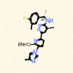 COc1nc(-c2cc(C)c(N[C@@H](C)c3ccc(F)c(C)c3)nn2)ccc1-n1cnc(C)c1